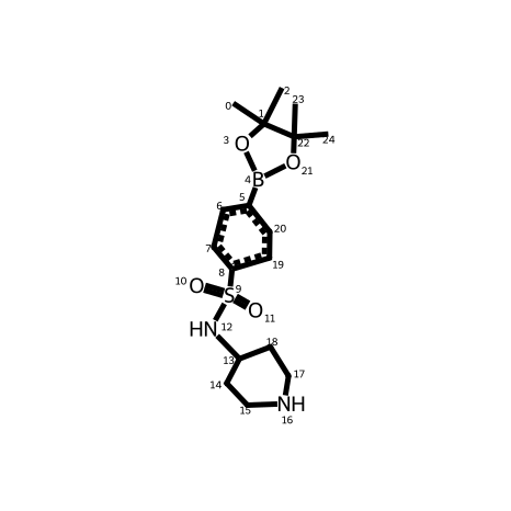 CC1(C)OB(c2ccc(S(=O)(=O)NC3CCNCC3)cc2)OC1(C)C